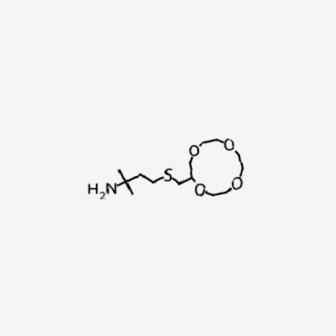 CC(C)(N)CCSCC1COCCOCCOCCO1